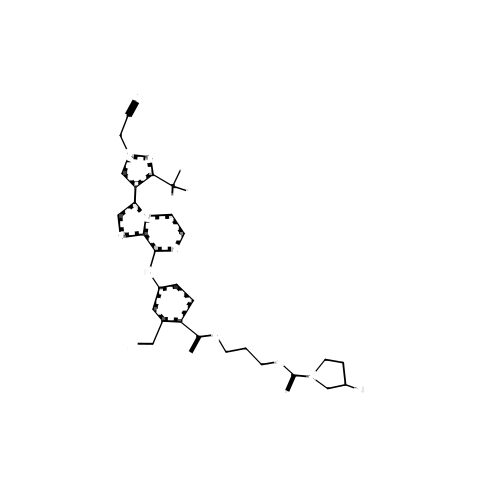 CCc1cc(Nc2nccn3c(-c4cn(CC#N)nc4C(F)(F)F)cnc23)ccc1C(=O)NCCCNC(=O)N1CCC(N)C1